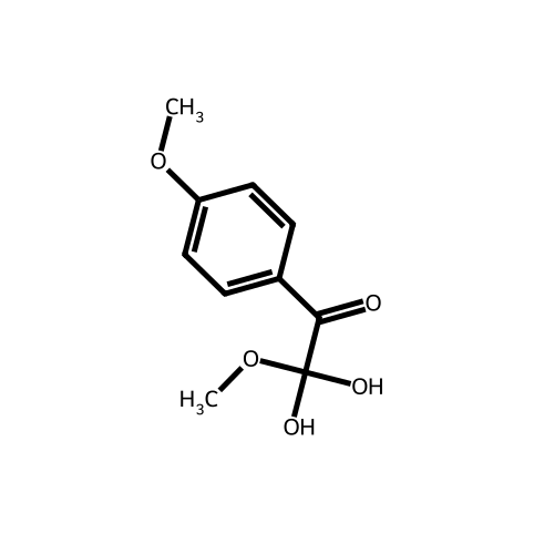 COc1ccc(C(=O)C(O)(O)OC)cc1